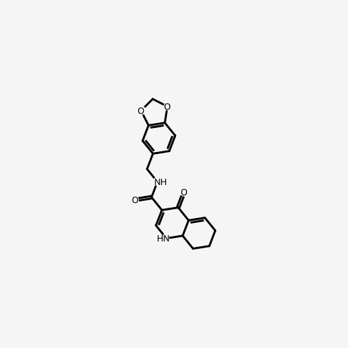 O=C(NCc1ccc2c(c1)OCO2)C1=CNC2CCCC=C2C1=O